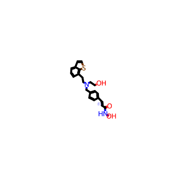 O=C(/C=C/c1ccc(CN(CCO)CCc2cccc3ccsc23)cc1)NO